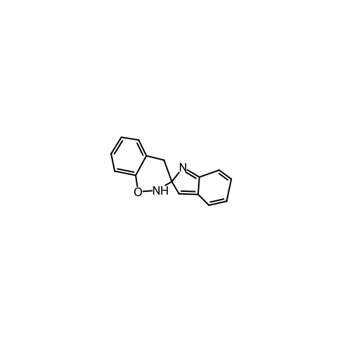 C1=c2ccccc2=NC12Cc1ccccc1ON2